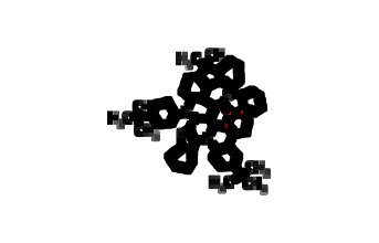 CC(C)(C)c1ccc(N2B3c4sc5ccccc5c4N(c4ccc(C(C)(C)C)cc4-c4ccccc4)c4cc5c(oc6ccccc65)c(c43)-c3c2ccc2c3-c3ccccc3C2(C)C)cc1